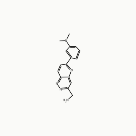 CN(C)c1cccc(-c2ccc3nnc(CN)cc3n2)c1